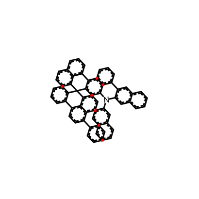 c1ccc(-c2cc3ccccc3cc2N(c2ccc3c(c2)C2(c4ccccc4-c4ccc(-c5ccccc5)c5cccc2c45)c2cccc4cccc-3c24)c2ccc3ccccc3c2)cc1